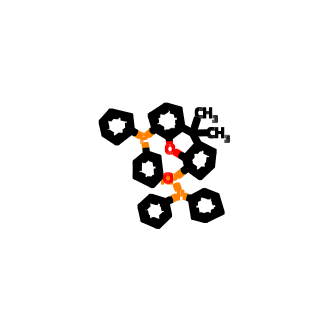 CC1(C)c2cccc(P(c3ccccc3)c3ccccc3)c2Oc2c([PH](=O)P(c3ccccc3)c3ccccc3)cccc21